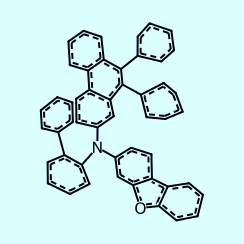 c1ccc(-c2ccccc2N(c2ccc3c(c2)oc2ccccc23)c2ccc3c(c2)c(-c2ccccc2)c(-c2ccccc2)c2ccccc23)cc1